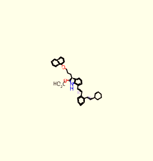 O=C(O)Oc1[nH]c2c(/C=C/c3ccccc3/C=C/C3CCCCC3)cccc2c1CCCOc1cccc2ccccc12